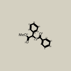 COC(=O)C(SC(=O)c1ccccc1)c1ccccc1